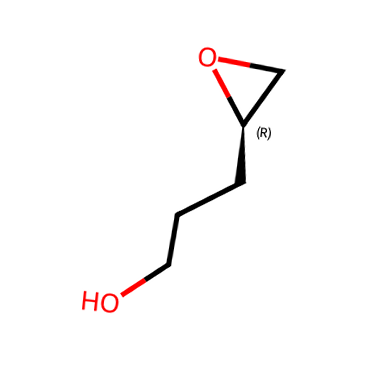 OCCC[C@@H]1CO1